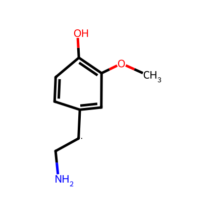 COc1cc([CH]CN)ccc1O